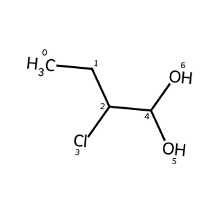 CCC(Cl)C(O)O